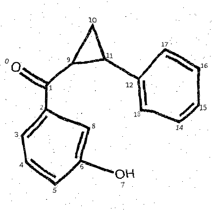 O=C(c1cccc(O)c1)C1CC1c1ccccc1